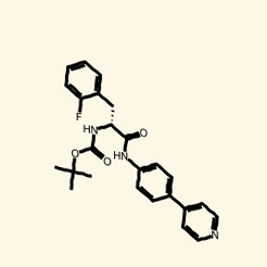 CC(C)(C)OC(=O)N[C@H](Cc1ccccc1F)C(=O)Nc1ccc(-c2ccncc2)cc1